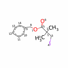 CC(C)(CI)C(=O)OCc1ccccc1